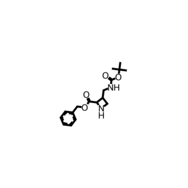 CC(C)(C)OC(=O)NCC1CNC1C(=O)OCc1ccccc1